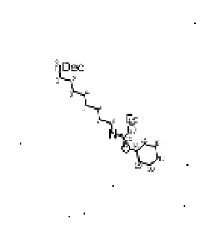 CCCCCCCCCCCCCCCCCCN=C(OCC)OC1CCCCC1